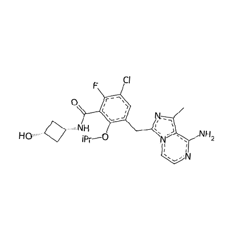 Cc1nc(Cc2cc(Cl)c(F)c(C(=O)N[C@H]3C[C@@H](O)C3)c2OC(C)C)n2ccnc(N)c12